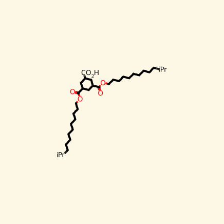 CC(C)CCCCCCCCCCOC(=O)C1CC(C(=O)O)CC(C(=O)OCCCCCCCCCCC(C)C)C1